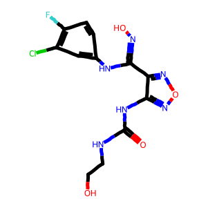 O=C(NCCO)Nc1nonc1/C(=N/O)Nc1ccc(F)c(Cl)c1